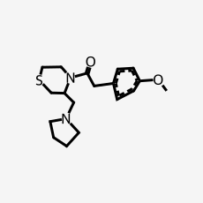 COc1ccc(CC(=O)N2CCSCC2CN2CCCC2)cc1